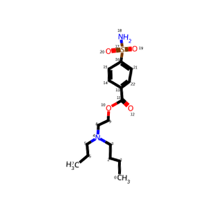 CCCCN(CCC)CCOC(=O)c1ccc(S(N)(=O)=O)cc1